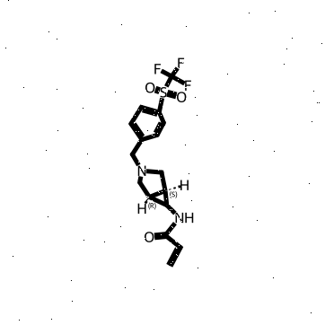 C=CC(=O)NC1[C@H]2CN(Cc3ccc(S(=O)(=O)C(F)(F)F)cc3)C[C@@H]12